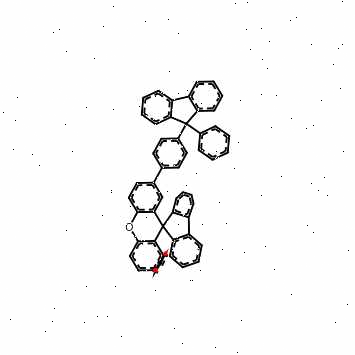 c1ccc(C2(c3ccc(-c4ccc5c(c4)C4(c6ccccc6-c6ccccc64)c4c(ccc6ccccc46)O5)cc3)c3ccccc3-c3ccccc32)cc1